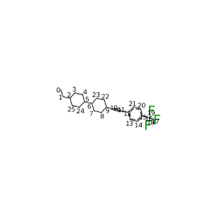 CCC1CCC(C2CCC(C#Cc3ccc(C(F)(F)F)cc3)CC2)CC1